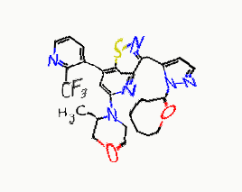 C[C@@H]1COCCN1c1cc(-c2cccnc2C(F)(F)F)c2snc(-c3ccnn3C3CCCCO3)c2n1